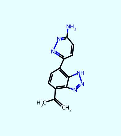 C=C(C)c1ccc(-c2ccc(N)nn2)c2[nH]nnc12